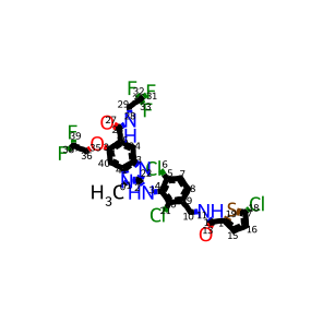 Cn1c(Nc2c(Cl)ccc(CNC(=O)c3ccc(Cl)s3)c2Cl)nc2cc(C(=O)NCC(F)(F)F)c(OCC(F)F)cc21